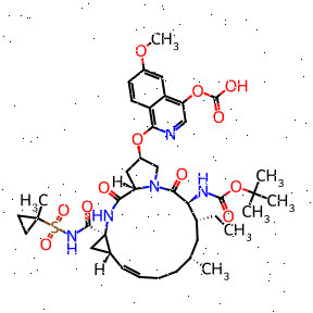 CC[C@@H]1C[C@H](C)CC/C=C\[C@@H]2C[C@@]2(C(=O)NS(=O)(=O)C2(C)CC2)NC(=O)[C@@H]2C[C@@H](Oc3ncc(OC(=O)O)c4cc(OC)ccc34)CN2C(=O)[C@H]1NC(=O)OC(C)(C)C